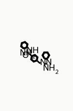 Nc1ccccc1NC(=O)c1ccc(Cn2c(N)nc3ccccc32)cc1